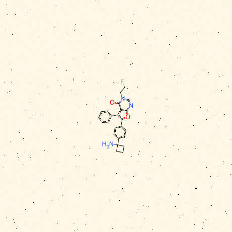 NC1(c2ccc(-c3oc4ncn(CCF)c(=O)c4c3-c3ccccc3)cc2)CCC1